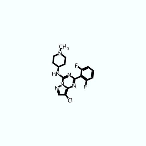 CN1CCC(Nc2nc(-c3c(F)cccc3F)nc3c(Cl)cnn23)CC1